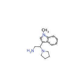 Cn1cc(C(CN)N2CCCC2)c2ccccc21